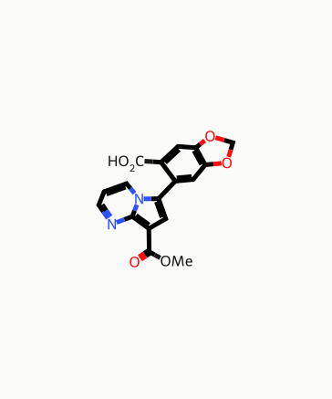 COC(=O)c1cc(-c2cc3c(cc2C(=O)O)OCO3)n2cccnc12